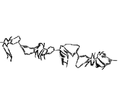 Cc1ccc(-c2nc3cc(-c4ccc5cc(-c6ccc(-c7nc8cc(-c9ccc%10nc(C)[nH]c%10c9)ccc8[nH]7)cc6)[nH]c5c4)ccc3[nH]2)nc1